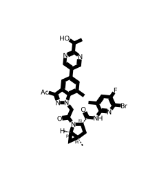 CC(=O)c1nn(CC(=O)N2[C@H](C(=O)Nc3nc(Br)c(F)cc3C)C[C@@]3(C)C[C@@H]23)c2c(C)cc(-c3cnc(C(C)O)nc3)cc12